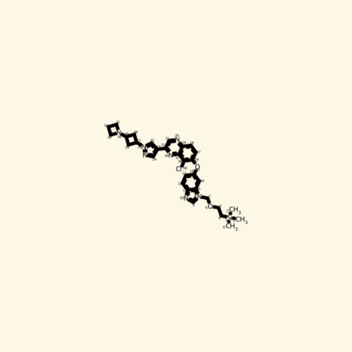 C[Si](C)(C)CCOCn1cnc2ccc(Oc3ccc4ncc(-c5cnn(C6CC(N7CCC7)C6)c5)nc4c3Cl)cc21